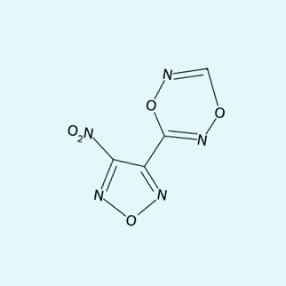 O=[N+]([O-])c1nonc1C1=NOC=NO1